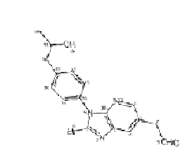 CCc1nc2cc(CC=O)cnc2n1-c1ccc(CC(C)O)cc1